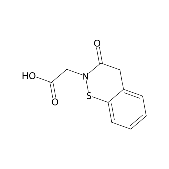 O=C(O)CN1Sc2ccccc2CC1=O